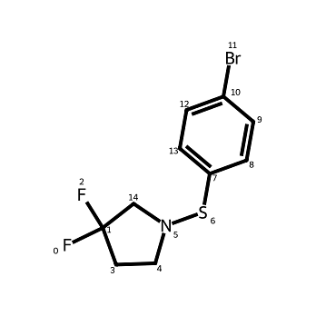 FC1(F)CCN(Sc2ccc(Br)cc2)C1